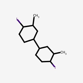 CC1CC(C2CCC(I)C(C)C2)CCC1I